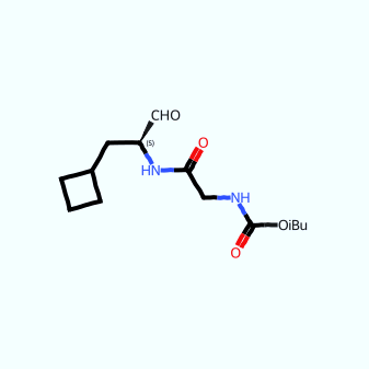 CC(C)COC(=O)NCC(=O)N[C@H](C=O)CC1CCC1